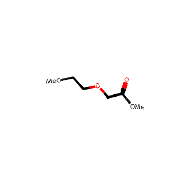 COCCOCC(=O)OC